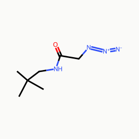 CC(C)(C)CNC(=O)CN=[N+]=[N-]